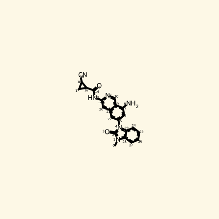 Cn1c(=O)n(-c2cc(N)c3cnc(NC(=O)C4CC4C#N)cc3c2)c2ccccc21